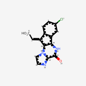 O=C(O)C=c1c2ccc(Cl)cc2c2[nH]c(=O)c3nccn3c12